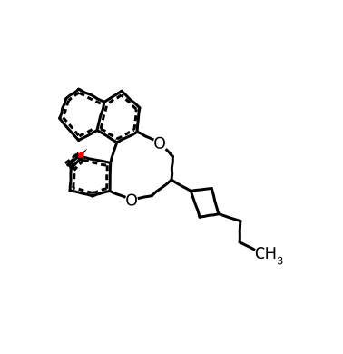 CCCC1CC(C2COc3ccc4ccccc4c3-c3c(ccc4ccccc34)OC2)C1